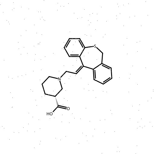 O=C(O)[C@@H]1CCCN(CC=C2c3ccccc3CSc3ccccc32)C1